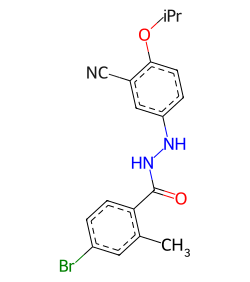 Cc1cc(Br)ccc1C(=O)NNc1ccc(OC(C)C)c(C#N)c1